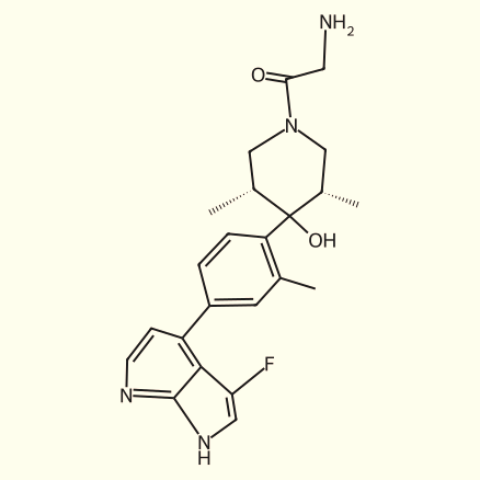 Cc1cc(-c2ccnc3[nH]cc(F)c23)ccc1C1(O)[C@H](C)CN(C(=O)CN)C[C@@H]1C